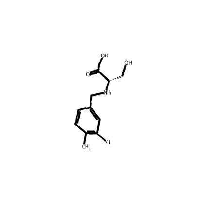 Cc1ccc(CN[C@@H](CO)C(=O)O)cc1Cl